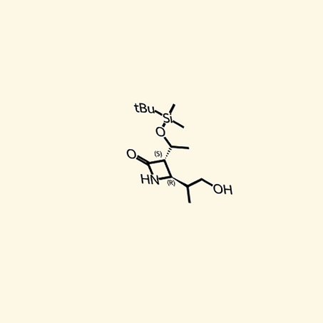 CC(CO)[C@H]1NC(=O)[C@@H]1C(C)O[Si](C)(C)C(C)(C)C